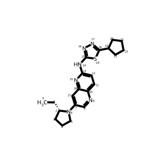 CC[C@H]1CCCN1c1cnc2ccc(Nc3nnc(C4CCCC4)s3)nc2c1